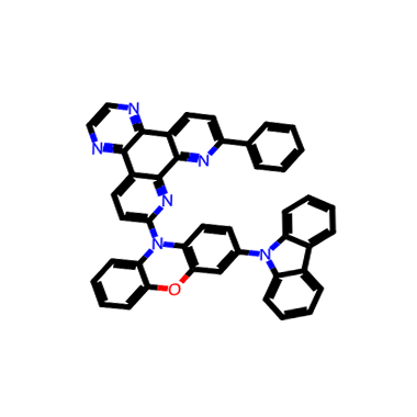 c1ccc(-c2ccc3c4nccnc4c4ccc(N5c6ccccc6Oc6cc(-n7c8ccccc8c8ccccc87)ccc65)nc4c3n2)cc1